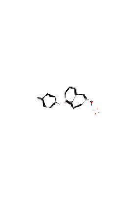 CS(=O)(=O)NC(=O)c1ccc2c(Oc3ccc(C(F)(F)F)cc3)cccc2c1